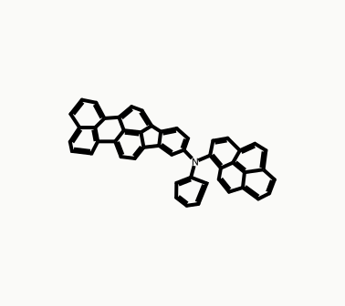 c1ccc(N(c2ccc3c(c2)-c2ccc4c5cccc6cccc(c7ccc-3c2c74)c65)c2ccc3ccc4cccc5ccc2c3c45)cc1